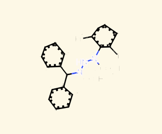 CC(C)c1cccc(C(C)C)c1N(NN(C(=O)O)C(c1ccccc1)c1ccccc1)C(=O)O